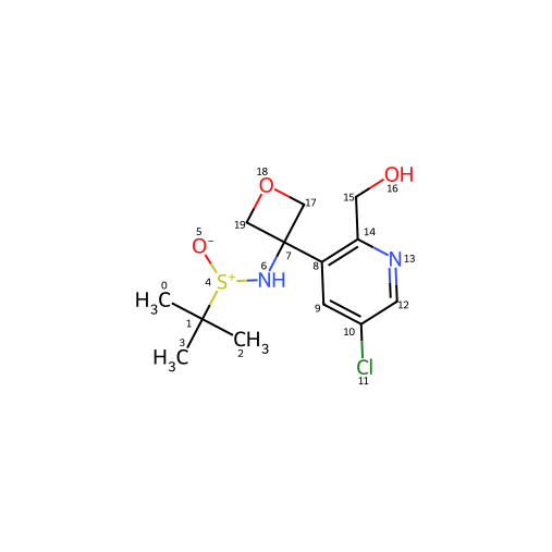 CC(C)(C)[S+]([O-])NC1(c2cc(Cl)cnc2CO)COC1